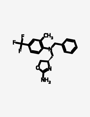 Cc1cc(C(F)(F)F)ccc1N(Cc1ccccc1)C[C@H]1COC(N)=N1